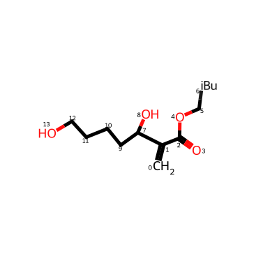 C=C(C(=O)OCC(C)CC)C(O)CCCCO